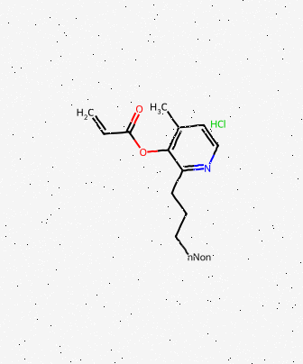 C=CC(=O)Oc1c(C)ccnc1CCCCCCCCCCCC.Cl